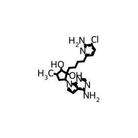 CC1CC(n2ccc3c(N)ncnc32)C(O)(CCCCc2ccc(Cl)c(N)n2)C1O